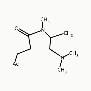 CC(=O)CCC(=O)N(C)C(C)CN(C)C